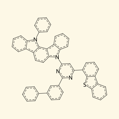 c1ccc(-c2cccc(-c3nc(-c4cccc5c4sc4ccccc45)cc(-n4c5ccccc5c5c4ccc4c6ccccc6n(-c6ccccc6)c45)n3)c2)cc1